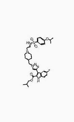 CC(C)COC(=O)c1[nH]c2ccc(F)cc2c1-c1cn(CC2CCN(CCNS(=O)(=O)c3ccc(OC(C)C)cc3)CC2)nn1